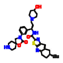 CC(C)(C)[C@H]1CCc2nc3sc(C(=O)N[C@H](CCN4CCC(O)CC4)c4cccc(N5CC6(CCNCC6)OC5=O)c4)nc3cc2C1